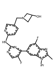 Cc1nc2c(F)cc(-c3nc(Nc4ccc(CN5CC(O)C5)cn4)ncc3F)cc2n1C(C)C